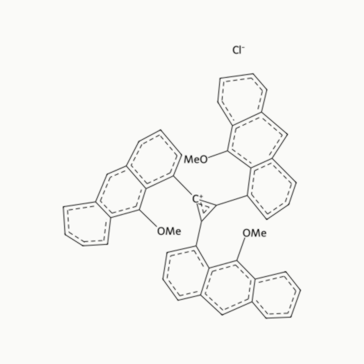 COc1c2ccccc2cc2cccc(-c3c(-c4cccc5cc6ccccc6c(OC)c45)[c+]3-c3cccc4cc5ccccc5c(OC)c34)c12.[Cl-]